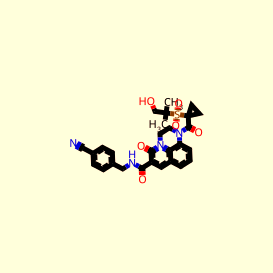 CC(C)(CO)S(=O)(=O)C1(C(=O)N2CCn3c(=O)c(C(=O)NCc4ccc(C#N)cc4)cc4cccc2c43)CC1